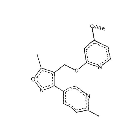 COc1ccnc(OCc2c(-c3ccc(C)nc3)noc2C)c1